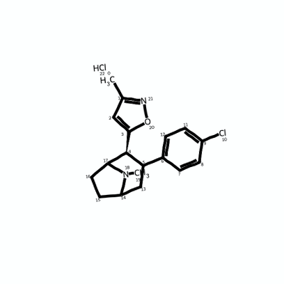 Cc1cc([C@H]2C(c3ccc(Cl)cc3)CC3CCC2N3C)on1.Cl